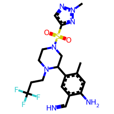 Cc1cc(N)c(C=N)cc1C1CN(S(=O)(=O)c2cnn(C)n2)CCN1CCC(F)(F)F